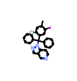 Cc1cc(Cl)c(C(c2ccccc2)(c2ccccc2)n2ncc3cnccc32)cc1I